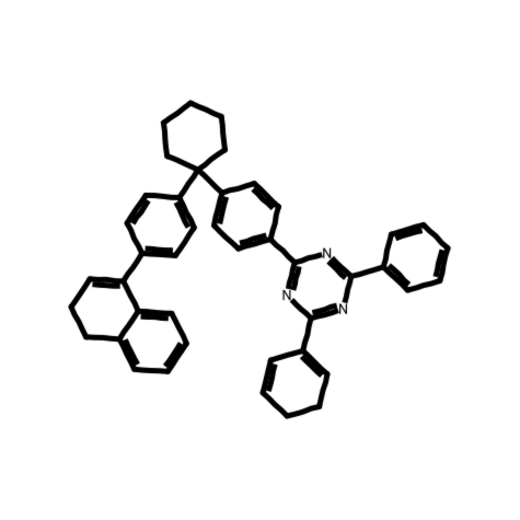 C1=CC(c2nc(-c3ccccc3)nc(-c3ccc(C4(c5ccc(C6=CCCc7ccccc76)cc5)CCCCC4)cc3)n2)=CCC1